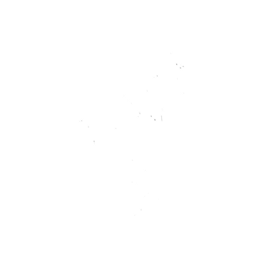 CN(C)C1CCC(NC(=O)c2cc(C=O)cc(OCC(=O)Cl)c2)CC1